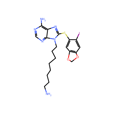 NCCCCCCCCn1c(Sc2cc3c(cc2I)OCO3)nc2c(N)ncnc21